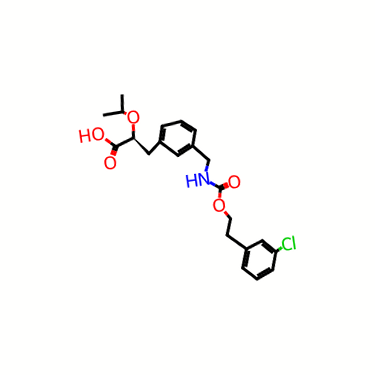 CC(C)O[C@@H](Cc1cccc(CNC(=O)OCCc2cccc(Cl)c2)c1)C(=O)O